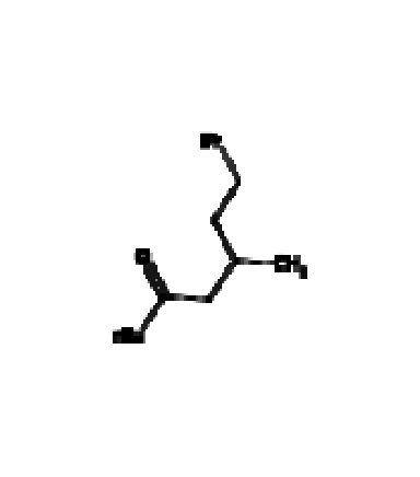 CCCCC(=O)CC(C)CCC(C)C